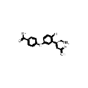 NC[C@H](CC(=O)O)c1cc(Oc2ccc(C(=O)O)cc2)ccc1Cl